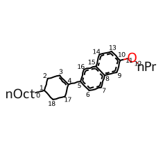 CCCCCCCCC1CC=C(c2ccc3cc(OCCC)ccc3c2)CC1